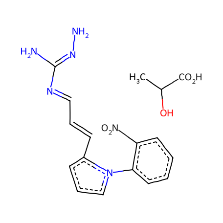 CC(O)C(=O)O.NN=C(N)N=CC=Cc1cccn1-c1ccccc1[N+](=O)[O-]